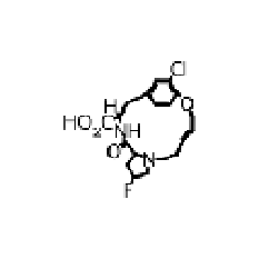 O=C1N[C@H](C(=O)O)Cc2ccc(c(Cl)c2)OC/C=C/CCN2C[C@@H](F)CC12